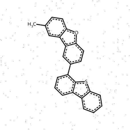 Cc1ccc2oc3ccc(-c4cccc5c4sc4ccccc45)cc3c2c1